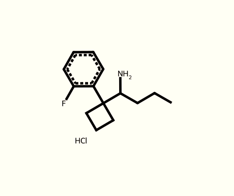 CCCC(N)C1(c2ccccc2F)CCC1.Cl